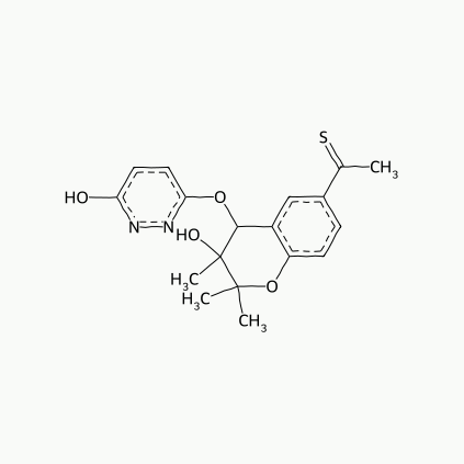 CC(=S)c1ccc2c(c1)C(Oc1ccc(O)nn1)C(C)(O)C(C)(C)O2